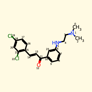 CN(C)CCNc1cccc(C(=O)C=Cc2ccc(Cl)cc2Cl)c1